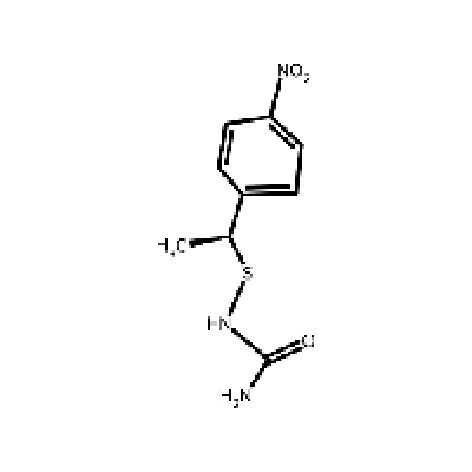 C[C@H](SNC(N)=O)c1ccc([N+](=O)[O-])cc1